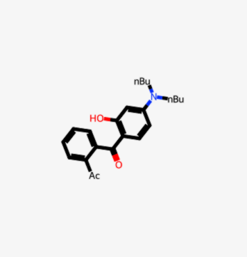 CCCCN(CCCC)c1ccc(C(=O)c2ccccc2C(C)=O)c(O)c1